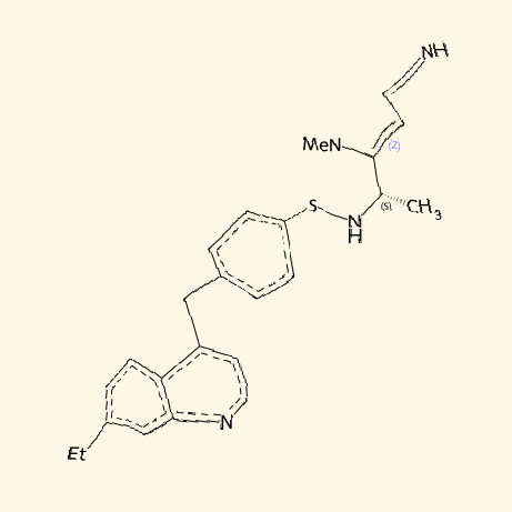 CCc1ccc2c(Cc3ccc(SN[C@@H](C)/C(=C/C=N)NC)cc3)ccnc2c1